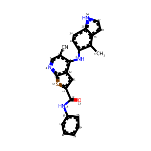 Cc1c(Nc2c(C#N)cnc3sc(C(=O)Nc4ccccc4)cc23)ccc2[nH]ccc12